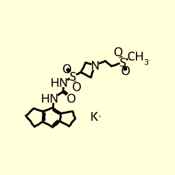 CS(=O)(=O)CCN1CC(S(=O)(=O)NC(=O)Nc2c3c(cc4c2CCC4)CCC3)C1.[K]